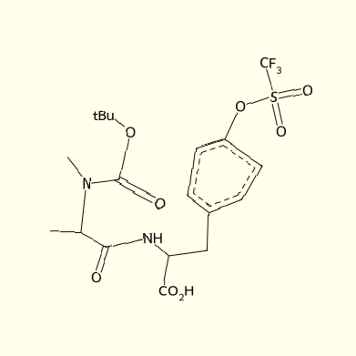 CC(C(=O)NC(Cc1ccc(OS(=O)(=O)C(F)(F)F)cc1)C(=O)O)N(C)C(=O)OC(C)(C)C